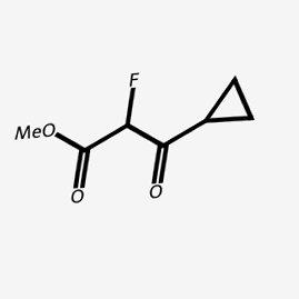 COC(=O)C(F)C(=O)C1CC1